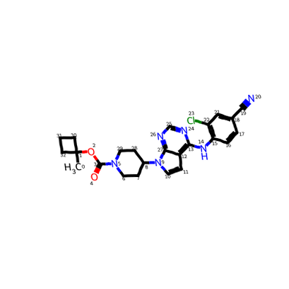 CC1(OC(=O)N2CCC(n3ccc4c(Nc5ccc(C#N)cc5Cl)ncnc43)CC2)CCC1